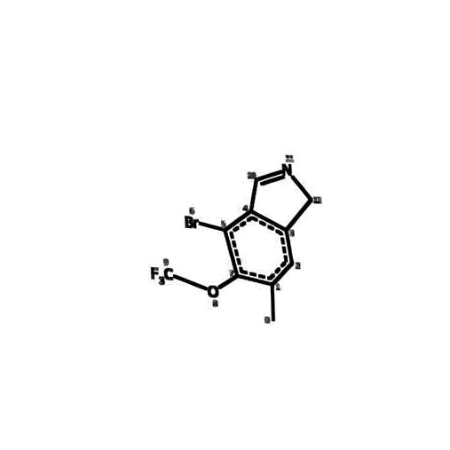 Cc1cc2c(c(Br)c1OC(F)(F)F)C=NC2